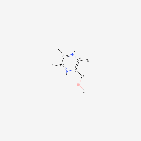 CBCc1nc(C)c(C)nc1C